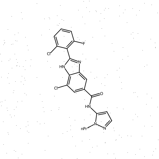 CCCn1nccc1NC(=O)c1cc(Cl)c2[nH]c(-c3c(F)cccc3Cl)nc2c1